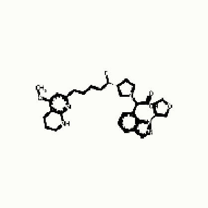 COc1cc(CCCCC(F)[C@@H]2CCN(C(C(=O)O)c3cccc4cnn([C@H]5CCOC5)c34)C2)nc2c1CCCN2